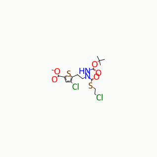 COC(=O)c1cc(Cl)c(CCN(NC(=O)OC(C)(C)C)C(=O)SCCCl)s1